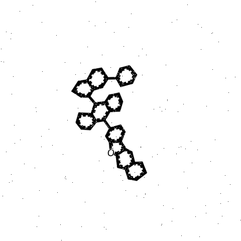 c1ccc(-c2ccc3cccc(-c4c5ccccc5c(-c5ccc6c(c5)oc5cc7ccccc7cc56)c5ccccc45)c3c2)cc1